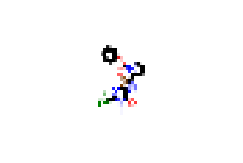 O=C(Oc1ccccc1)N1CCCC1c1nc2c(=O)[nH]c(C(F)(F)F)nc2s1